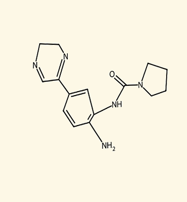 Nc1ccc(C2=NCCN=C2)cc1NC(=O)N1CCCC1